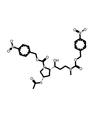 CC(=O)S[C@H]1C[C@@H](C(O)CCN(C)C(=O)OCc2ccc([N+](=O)[O-])cc2)N(C(=O)OCc2ccc([N+](=O)[O-])cc2)C1